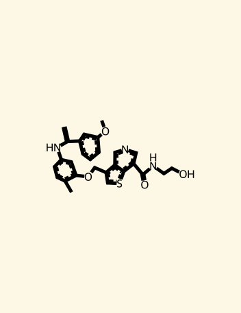 C=C(Nc1ccc(C)c(OCc2csc3c(C(=O)NCCO)cncc23)c1)c1cccc(OC)c1